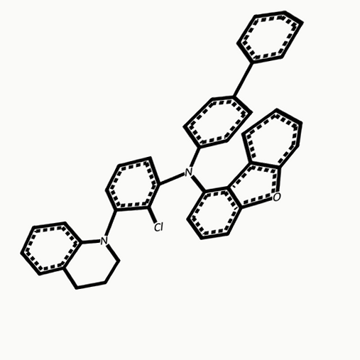 Clc1c(N2CCCc3ccccc32)cccc1N(c1ccc(-c2ccccc2)cc1)c1cccc2oc3ccccc3c12